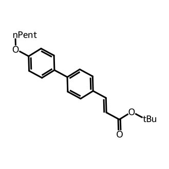 CCCCCOc1ccc(-c2ccc(C=CC(=O)OC(C)(C)C)cc2)cc1